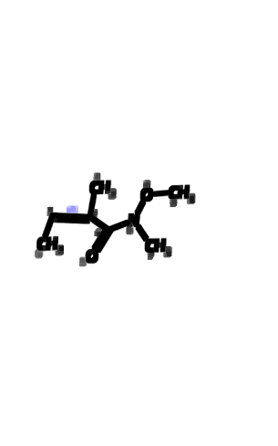 C/C=C(/C)C(=O)N(C)OC